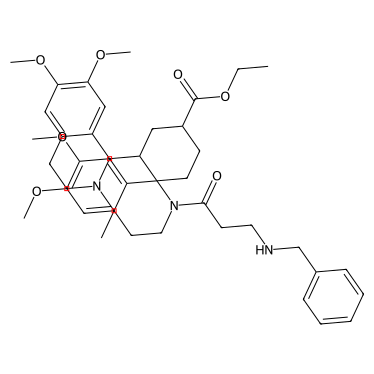 CCOC(=O)C1CCC2(c3cc(OC)c(OC)cc3CCN2C(=O)CCNCc2ccccc2)C(C2c3cc(OC)c(OC)cc3CCN2CC)C1